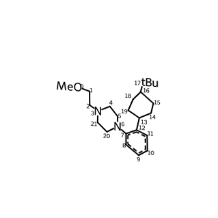 COCCN1CCN(c2ccccc2C2CCC(C(C)(C)C)CC2)CC1